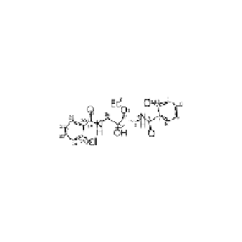 CCO[C@H](CNC(=O)c1ccccc1Cl)[C@@H](O)CNC(=O)c1ccccc1Cl